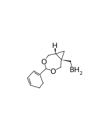 BC[C@@]12COC(C3=CC=CCC3)OC[C@@H]1C2